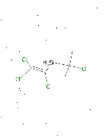 CC(C)(Cl)[SiH2]C(Cl)=C(Cl)Cl